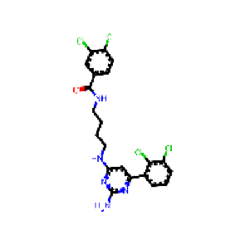 Nc1nc(NCCCCNC(=O)c2ccc(Cl)c(Cl)c2)cc(-c2cccc(Cl)c2Cl)n1